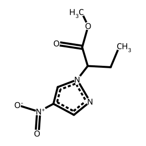 CCC(C(=O)OC)n1cc([N+](=O)[O-])cn1